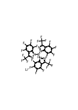 Fc1c(F)c(F)c2c(c(C(F)(F)F)nn2[BH-](n2nc(C(F)(F)F)c3c(F)c(F)c(F)c(F)c32)n2nc(C(F)(F)F)c3c(F)c(F)c(F)c(F)c32)c1F.[Li+]